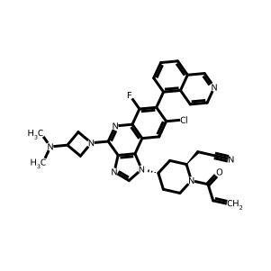 C=CC(=O)N1CC[C@H](n2cnc3c(N4CC(N(C)C)C4)nc4c(F)c(-c5cccc6cnccc56)c(Cl)cc4c32)C[C@H]1CC#N